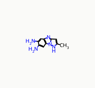 Cc1cc2nc3cc(N)c(N)cc3n2[nH]1